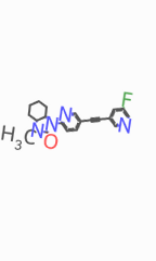 CN1C(=O)N(c2ccc(C#Cc3cncc(F)c3)cn2)C2CCCCC21